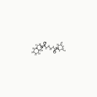 CC1CC(C)CN(C(=O)CCCCC(=O)N2CCC3CCCCC3C2)C1